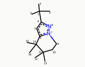 CC(C)(C)c1cc2n(n1)CCC(C)(C)C2(C)C